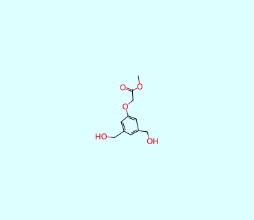 COC(=O)COc1cc(CO)cc(CO)c1